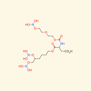 O=C(O)CC(NC(=O)OCCOCCON(O)O)C(=O)OCCCCC(CON(O)O)ON(O)O